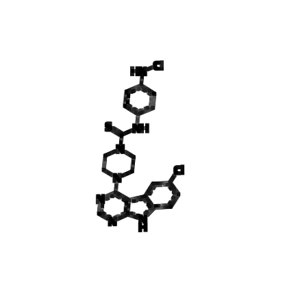 S=C(Nc1ccc(NCl)cc1)N1CCN(c2ncnc3[nH]c4ccc(Cl)cc4c23)CC1